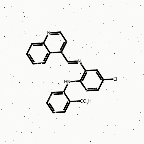 O=C(O)c1ccccc1Nc1ccc(Cl)cc1/N=C/c1ccnc2ccccc12